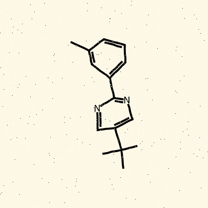 Cc1cccc(-c2ncc(C(C)(C)C)cn2)c1